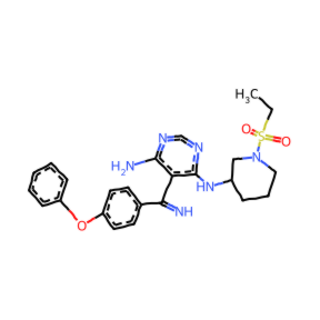 CCS(=O)(=O)N1CCCC(Nc2ncnc(N)c2C(=N)c2ccc(Oc3ccccc3)cc2)C1